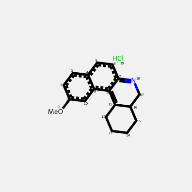 COc1ccc2ccc3c(c2c1)=C1CCCCC1CN=3.Cl